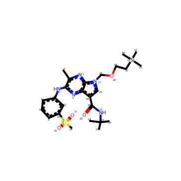 Cc1nc2c(nc1Nc1cccc(S(C)(=O)=O)c1)c(C(=O)NC(C)(C)C)cn2COCC[Si](C)(C)C